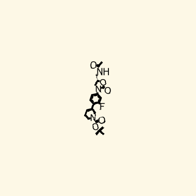 CC(=O)NC[C@H]1CN(c2ccc(C3=CCCN(C(=O)OC(C)(C)C)C3)c(F)c2)C(=O)O1